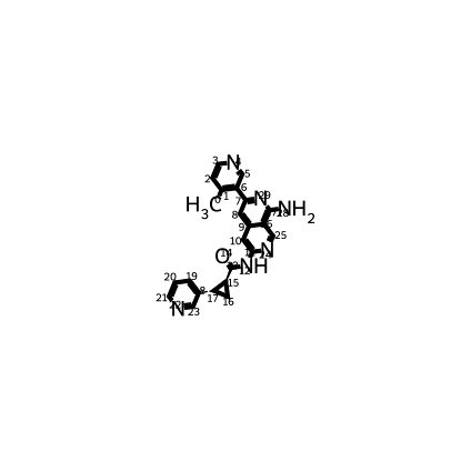 Cc1ccncc1-c1cc2cc(NC(=O)[C@H]3C[C@@H]3c3cccnc3)ncc2c(N)n1